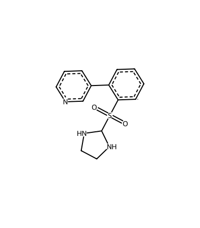 O=S(=O)(c1[c]cccc1-c1cccnc1)C1NCCN1